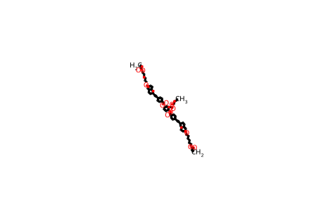 C=CC(=O)OCCCCCCOc1ccc2cc(C#Cc3ccc(C(=O)Oc4ccc(OC(=O)c5ccc(C#Cc6ccc7cc(OCCCCCCOC(=O)C=C)ccc7c6)cc5)c(C(=O)OCCCC)c4)cc3)ccc2c1